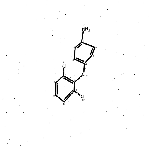 Nc1ccc(Oc2c(Cl)cccc2Cl)cc1